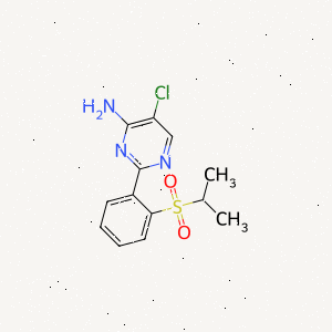 CC(C)S(=O)(=O)c1ccccc1-c1ncc(Cl)c(N)n1